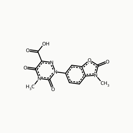 Cn1c(=O)c(C(=O)O)nn(-c2ccc3c(c2)oc(=O)n3C)c1=O